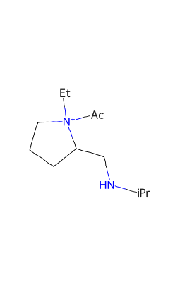 CC[N+]1(C(C)=O)CCCC1CNC(C)C